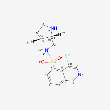 O=S(=O)(c1cccc2cncc(F)c12)N1C[C@@H]2CCN[C@@H]2C1